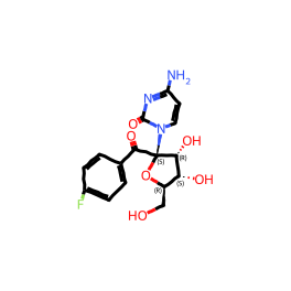 Nc1ccn([C@]2(C(=O)c3ccc(F)cc3)O[C@H](CO)[C@@H](O)[C@H]2O)c(=O)n1